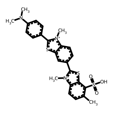 Cc1ccc2c(sc(-c3ccc4c(c3)sc(-c3ccc(N(C)C)cc3)[n+]4C)[n+]2C)c1S(=O)(=O)O